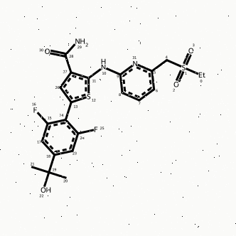 CCS(=O)(=O)Cc1cccc(Nc2sc(-c3c(F)cc(C(C)(C)O)cc3F)cc2C(N)=O)n1